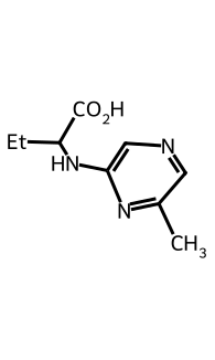 CCC(Nc1cncc(C)n1)C(=O)O